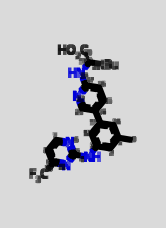 Cc1cc(Nc2nccc(C(F)(F)F)n2)cc(-c2ccc(N[C@H](C(=O)O)C(C)(C)C)nc2)c1